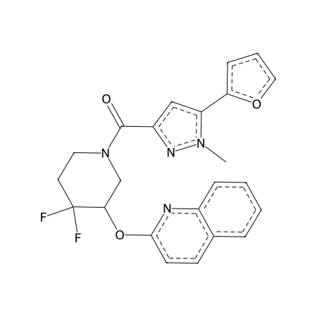 Cn1nc(C(=O)N2CCC(F)(F)C(Oc3ccc4ccccc4n3)C2)cc1-c1ccco1